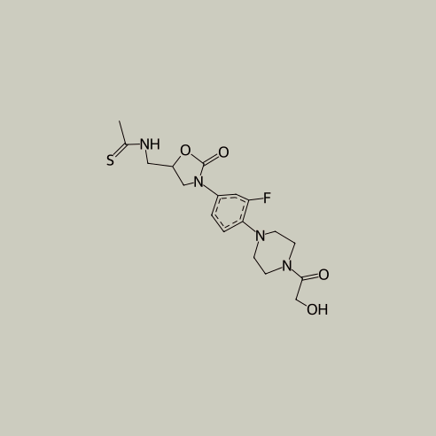 CC(=S)NCC1CN(c2ccc(N3CCN(C(=O)CO)CC3)c(F)c2)C(=O)O1